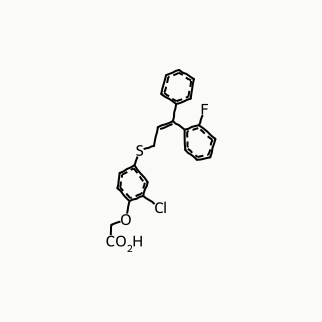 O=C(O)COc1ccc(SC/C=C(/c2ccccc2)c2ccccc2F)cc1Cl